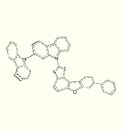 c1ccc(-c2ccc3c(c2)oc2ccc4nc(-n5c6ccccc6c6ccc(-n7c8ccccc8c8ccccc87)cc65)sc4c23)cc1